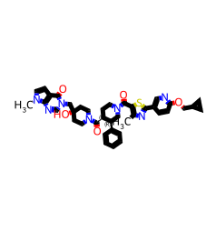 Cc1nc(-c2ccc(OCC3CC3)nc2)sc1C(=O)N1CC[C@@H](C(=O)N2CCC(O)(Cn3cnc4c(ccn4C)c3=O)CC2)[C@H](c2ccccc2)C1